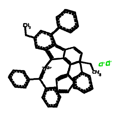 CCc1cc(-c2ccccc2)c2c(c1)=[C]([Zr+2]=[C](c1ccccc1)c1ccccc1)C1=C(C3=CC=CC3)C(CC)(c3ccccc3)C=CC=21.[Cl-].[Cl-]